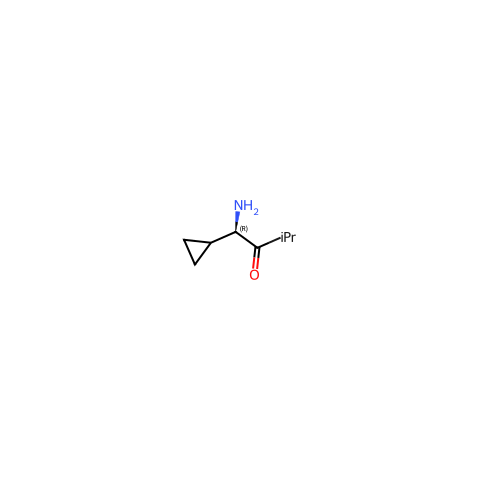 CC(C)C(=O)[C@H](N)C1CC1